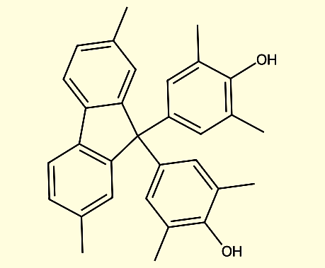 Cc1ccc2c(c1)C(c1cc(C)c(O)c(C)c1)(c1cc(C)c(O)c(C)c1)c1cc(C)ccc1-2